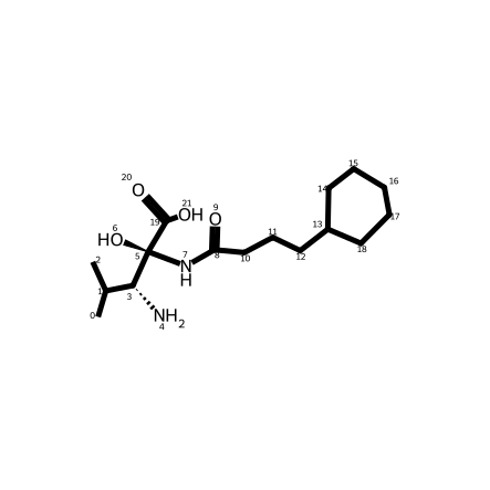 CC(C)[C@@H](N)[C@@](O)(NC(=O)CCCC1CCCCC1)C(=O)O